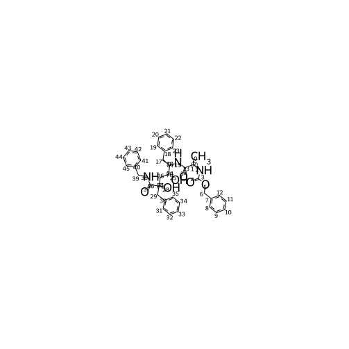 C[C@@H](NC(=O)OCc1ccccc1)C(=O)N[C@H](Cc1ccccc1)[C@H](O)C[C@](O)(Cc1ccccc1)C(=O)NCc1ccccc1